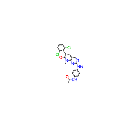 CC(=O)Nc1ccc(Nc2ncc3cc(-c4c(Cl)cccc4Cl)c(=O)n(C)c3n2)cc1